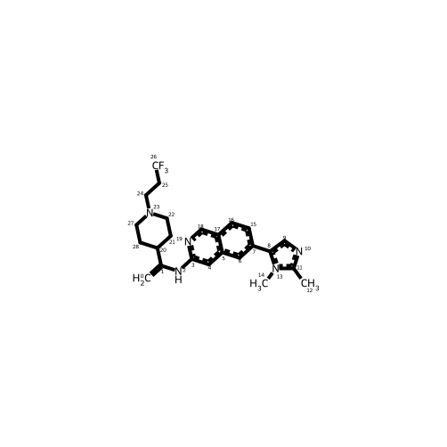 C=C(Nc1cc2cc(-c3cnc(C)n3C)ccc2cn1)C1CCN(CCC(F)(F)F)CC1